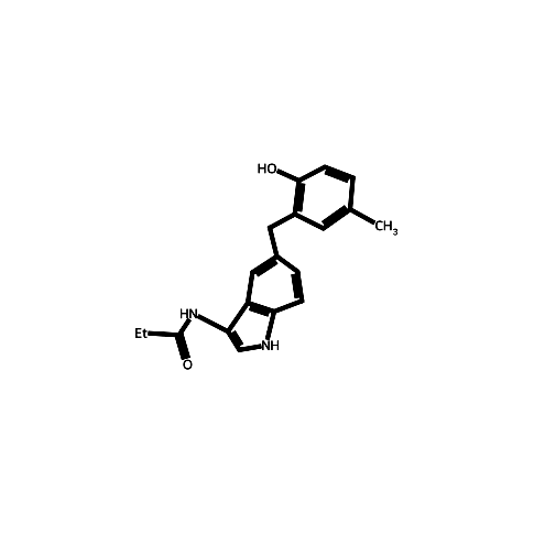 CCC(=O)Nc1c[nH]c2ccc(Cc3cc(C)ccc3O)cc12